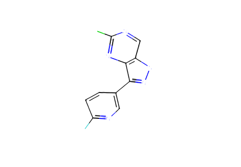 Fc1ccc(-c2n[nH]c3cnc(Cl)nc23)cn1